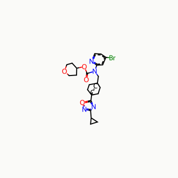 O=C(OC1CCOCC1)N(CC12CCC(c3nc(C4CC4)no3)(CC1)CC2)c1cc(Br)ccn1